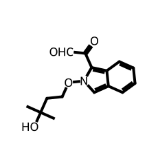 CC(C)(O)CCOn1cc2ccccc2c1C(=O)C=O